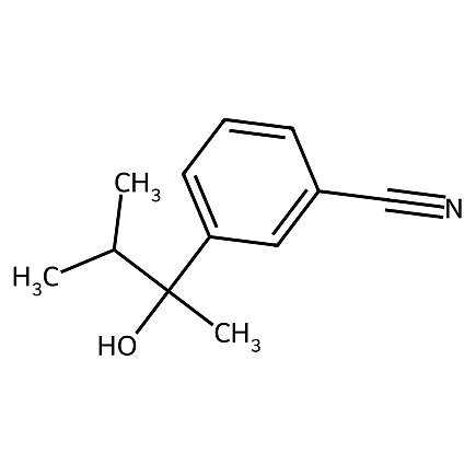 CC(C)C(C)(O)c1cccc(C#N)c1